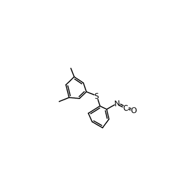 Cc1cc(C)cc(Sc2ccccc2N=C=O)c1